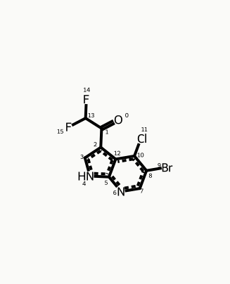 O=C(c1c[nH]c2ncc(Br)c(Cl)c12)C(F)F